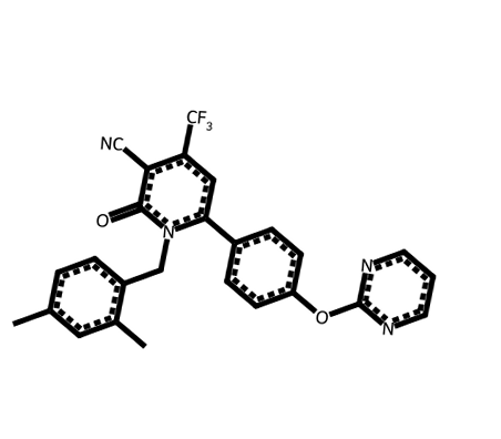 Cc1ccc(Cn2c(-c3ccc(Oc4ncccn4)cc3)cc(C(F)(F)F)c(C#N)c2=O)c(C)c1